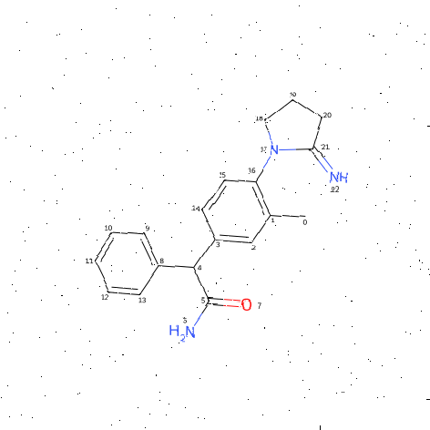 Cc1cc(C(C(N)=O)c2ccccc2)ccc1N1CCCC1=N